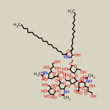 CCCCCCCCCCCCC/C=C/[C@@H](O)[C@H](CO[C@@H]1OC(CO)[C@@H](O[C@@H]2OC(CO)[C@H](O[C@@H]3OC(CO[C@]4(C(=O)O)CC(O)[C@@H](NC(C)=O)C([C@H](O)[C@H](O)CO)O4)[C@H](O)[C@H](O[C@@H]4OC(CO)[C@H](O)[C@H](O)C4O)C3NC(C)=O)[C@H](O[C@]3(C(=O)O)CC(O)[C@@H](NC(C)=O)C([C@H](O)[C@H](O)CO)O3)C2O)[C@H](O)C1O)NC(=O)CCCCCCCCCCCCCCCCCCC